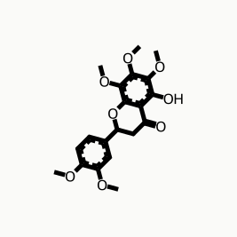 COc1ccc(C2CC(=O)c3c(O)c(OC)c(OC)c(OC)c3O2)cc1OC